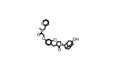 CN(Cc1ccccn1)C(=O)COc1ccc(CC2CCN(C3C4CC5CC3CC(O)(C5)C4)C2=O)c(Cl)c1